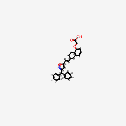 O=C(O)COc1cccc2c1CCC(C=Cc1cc(C(c3ccccc3)c3ccccc3)no1)C2